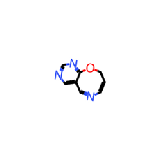 C1=CN=Cc2cncnc2OC1